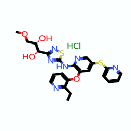 CCc1ncccc1Oc1cc(Sc2ccccn2)cnc1Nc1nc([C@H](O)[C@@H](O)COC)ns1.Cl